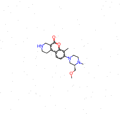 COC[C@H]1CN(c2ccc3c4c(c(=O)oc3c2C)CNCC4)CCN1C